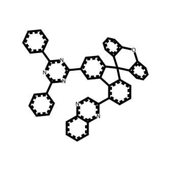 c1ccc(-c2nc(-c3ccccc3)nc(-c3ccc4c(c3)-c3c(-c5cnc6ccccc6n5)cccc3C43c4ccccc4Oc4ccccc43)n2)cc1